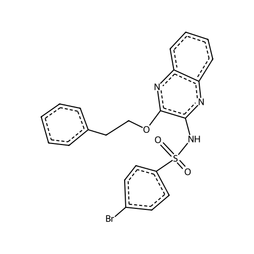 O=S(=O)(Nc1nc2ccccc2nc1OCCc1ccccc1)c1ccc(Br)cc1